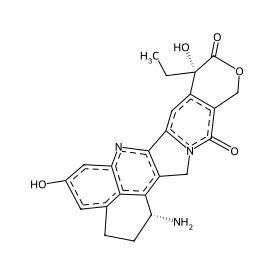 CC[C@@]1(O)C(=O)OCc2c1cc1n(c2=O)Cc2c-1nc1cc(O)cc3c1c2[C@H](N)CC3